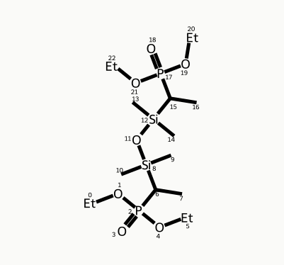 CCOP(=O)(OCC)C(C)[Si](C)(C)O[Si](C)(C)C(C)P(=O)(OCC)OCC